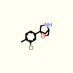 Cc1ccc(C23CNC(CO2)C3)cc1Cl